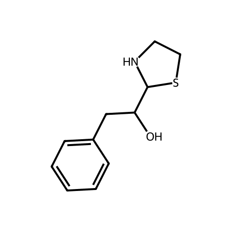 OC(Cc1ccccc1)C1NCCS1